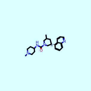 CC1C[C@H](c2cccc3ncccc23)CN(C(=O)NC2CCN(C)CC2)C1